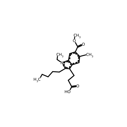 CCCCCc1c(CCC(=O)O)c2cc(C)c(C(=O)OC)cc2n1CC